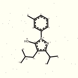 Cc1cccc(-n2nc(C(C)C)c(CC(C)C)c2O)c1